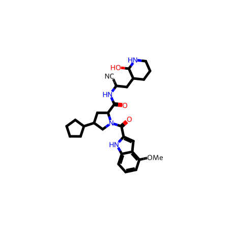 COc1cccc2[nH]c(C(=O)N3CC(C4CCCC4)CC3C(=O)NC(C#N)CC3CCCNC3O)cc12